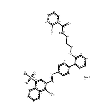 Nc1c(/N=N/c2ccc(-c3ccccc3OCCCNC(=O)c3cccnc3Cl)nc2)cc(S(=O)(=O)O)c2ccccc12.[NaH]